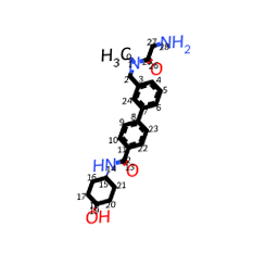 CN(Cc1cccc(-c2ccc(C(=O)N[C@H]3CC[C@H](O)CC3)cc2)c1)C(=O)CN